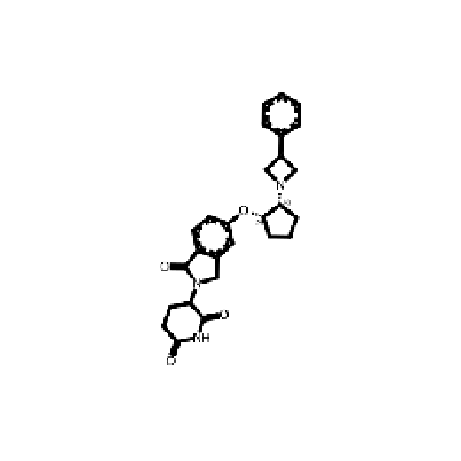 O=C1CCC(N2Cc3cc(O[C@H]4CCC[C@H]4N4CC(c5ccccc5)C4)ccc3C2=O)C(=O)N1